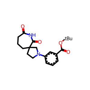 CC(C)(C)OC(=O)c1cccc(N2CCC3(CCCC(=O)NC3=O)C2)c1